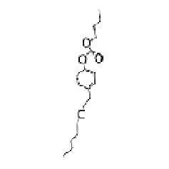 CCCCCCCCc1ccc(OC(=O)OCCCC)cc1